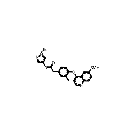 CSc1ccc2nccc(Oc3ccc(CC(=O)Nc4cnn(C(C)(C)C)c4)cc3C)c2c1